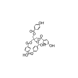 O=C(OCC(COC(=O)c1ccc(O)cc1)(COC(=O)c1ccc(O)cc1)COC(O)c1ccc(O)cc1)c1ccc(O)cc1